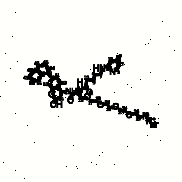 Cc1ccnc(NCCCCC(=O)NC(COCCOCCOCCOCCN=[N+]=[N-])C(=O)NC(CC(=O)O)c2ccc(-c3cccc4ccccc34)cc2)c1